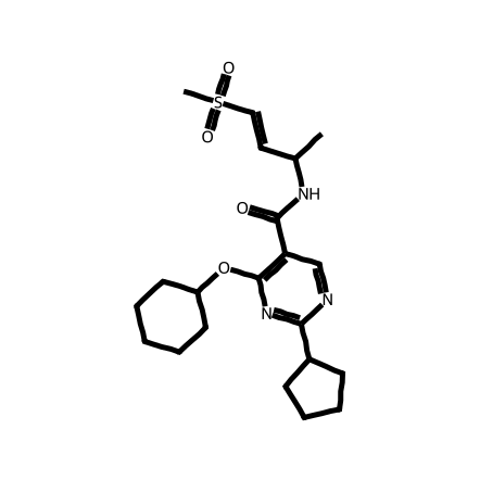 CC(/C=C/S(C)(=O)=O)NC(=O)c1cnc(C2CCCC2)nc1OC1CCCCC1